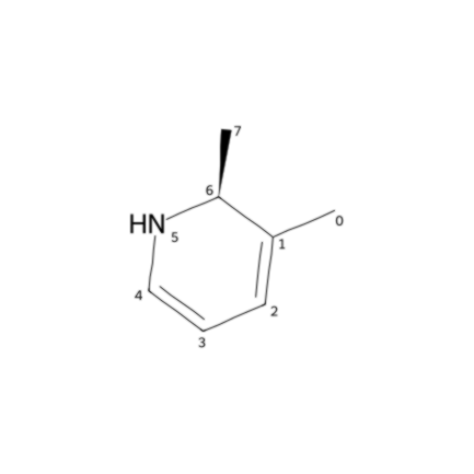 CC1=CC=CN[C@H]1C